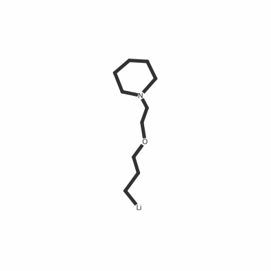 [Li][CH2]CCOCCN1CCCCC1